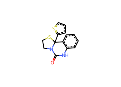 O=C1Nc2ccccc2C2(c3cccs3)SCCN12